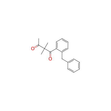 CC(=O)C(C)(C)C(=O)c1ccccc1Cc1ccccc1